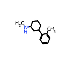 CNC1CCCC(c2ccccc2C)C1